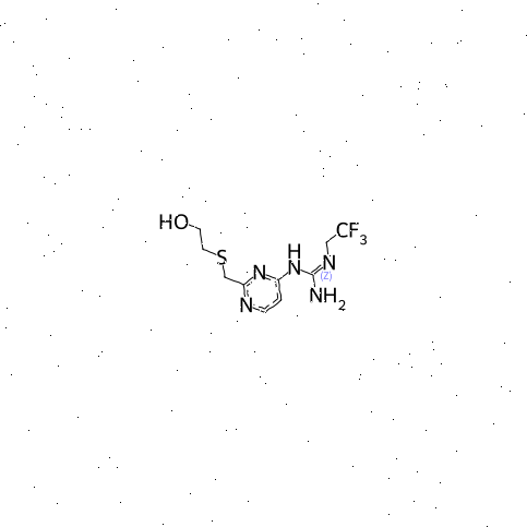 N/C(=N/CC(F)(F)F)Nc1ccnc(CSCCO)n1